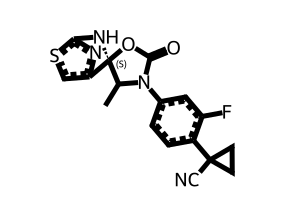 CC1N(c2ccc(C3(C#N)CC3)c(F)c2)C(=O)O[C@@]12Nc1nc2cs1